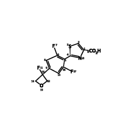 O=C(O)c1csc(-c2c(F)cc(C3(F)COC3)cc2F)n1